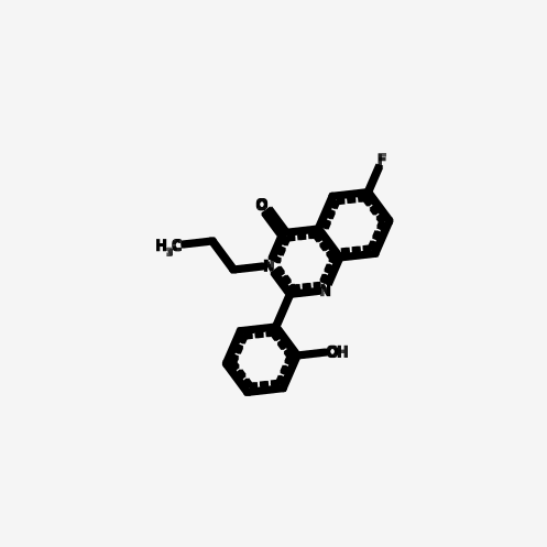 CCCn1c(-c2ccccc2O)nc2ccc(F)cc2c1=O